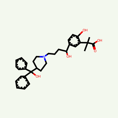 CC(C)(C(=O)O)c1cc(C(O)CCCN2CCC(C(O)(c3ccccc3)c3ccccc3)CC2)ccc1O